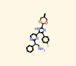 C=C1COC(c2nc(-c3ccc(F)cc3)c(-c3ccnc(C(CN)c4ccccc4)n3)[nH]2)OC1